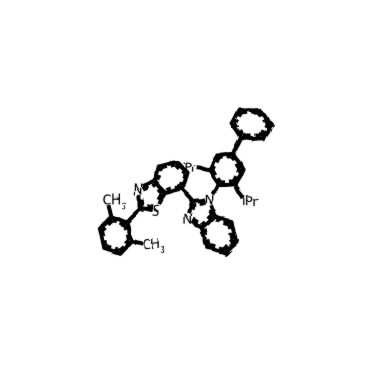 Cc1cccc(C)c1-c1nc2cccc(-c3nc4ccccc4n3-c3c(C(C)C)cc(-c4ccccc4)cc3C(C)C)c2s1